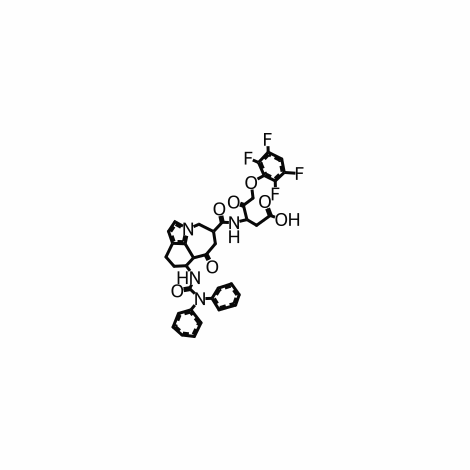 O=C(O)CC(NC(=O)C1CC(=O)C2c3c(ccn3C1)CCC2NC(=O)N(c1ccccc1)c1ccccc1)C(=O)COc1c(F)c(F)cc(F)c1F